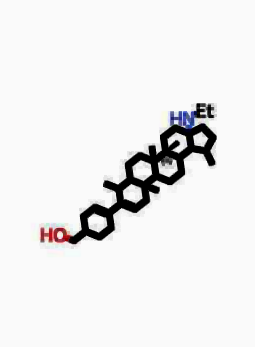 CCNC12CCC(C)C1C1CCC3C4(C)CC=C(C5=CCC(CO)CC5)C(C)C4CCC3(C)[C@]1(C)CC2